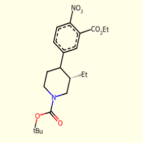 CCOC(=O)c1cc(C2CCN(C(=O)OC(C)(C)C)C[C@H]2CC)ccc1[N+](=O)[O-]